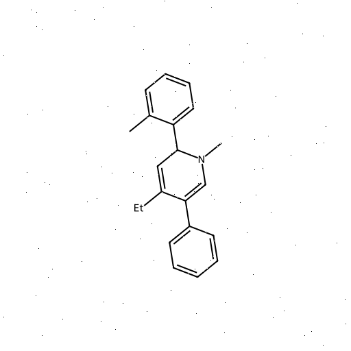 CCC1=CC(c2ccccc2C)N(C)C=C1c1ccccc1